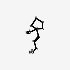 OCC=CC1(O)CCCC1